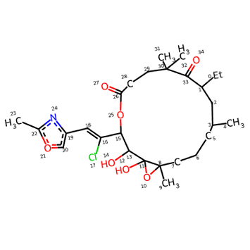 CCC1CC(C)CCCC2(C)OC2(O)C(O)C(C(Cl)=Cc2coc(C)n2)OC(=O)CCC(C)(C)C1=O